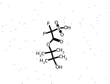 CC(C)(O)C(C)(C)OC(=O)C(F)(F)S(=O)(=O)O